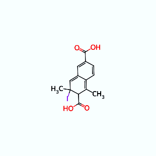 CC1=c2ccc(C(=O)O)cc2=CC(C)(I)C1C(=O)O